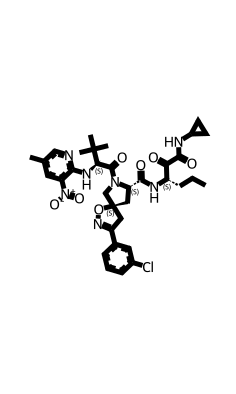 CCC[C@H](NC(=O)[C@@H]1C[C@]2(CC(c3cccc(Cl)c3)=NO2)CN1C(=O)[C@@H](Nc1ncc(C)cc1[N+](=O)[O-])C(C)(C)C)C(=O)C(=O)NC1CC1